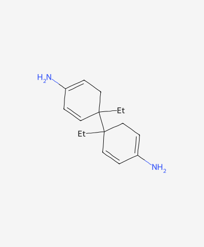 CCC1(C2(CC)C=CC(N)=CC2)C=CC(N)=CC1